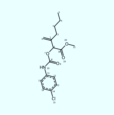 C=C(CCCC)C(OC(=O)Nc1ccc(Cl)cc1)C(=O)OC